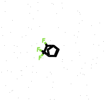 FC1C2C=CC(C2)C1(F)F